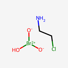 NCCCl.[O-][Br+2]([O-])O